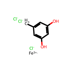 Cc1cc(O)cc(O)c1.[Cl-].[Cl-].[Cl-].[Fe+3]